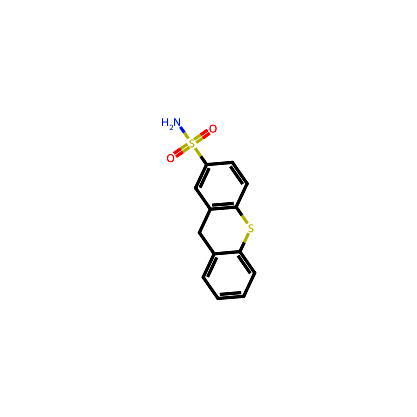 NS(=O)(=O)c1ccc2c(c1)Cc1ccccc1S2